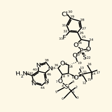 CC(C)(C)[Si](C)(C)O[C@@H]1[C@H](O[Si](C)(C)C(C)(C)C)[C@@H](COP2(=S)OCC(c3ccc(Cl)cc3F)O2)O[C@H]1n1cnc2c(N)ncnc21